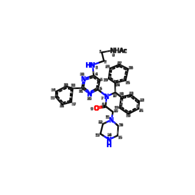 CC(=O)NCCNc1cc(N(C(=O)CN2CCNCC2)C(c2ccccc2)c2ccccc2)nc(-c2ccccc2)n1